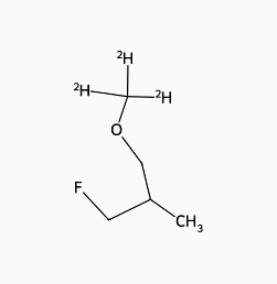 [2H]C([2H])([2H])OCC(C)CF